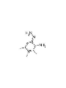 Cc1cc(=NN)c(N)c(C)n1C